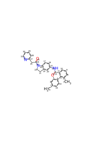 Cc1ccc(-c2c(C)cccc2C(=O)Nc2ccc3c(c2)CCN3C(=O)Cc2ccccn2)cc1